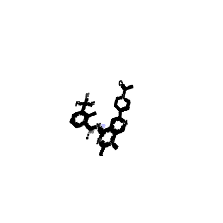 CC(=O)N1CC=C(c2cc3/c(=N/[C@H](C)c4cccc(C(F)(F)F)c4C)nc(C)n(C)c3cn2)CC1